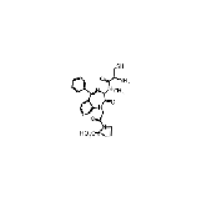 CN(C(=O)C(N)CS)C1N=C(c2ccccc2)c2ccccc2N(CC(=O)N2CCC[C@H]2C(=O)O)C1=O